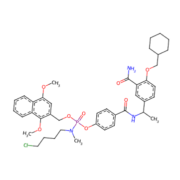 COc1cc(COP(=O)(Oc2ccc(C(=O)NC(C)c3ccc(OCC4CCCCC4)c(C(N)=O)c3)cc2)N(C)CCCCCl)c(OC)c2ccccc12